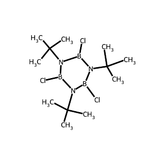 CC(C)(C)N1B(Cl)N(C(C)(C)C)B(Cl)N(C(C)(C)C)B1Cl